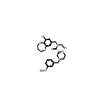 COc1cccc(CN2CCO[C@@H](C(=O)N(Cc3cc(Cl)c4c(c3)OCCCO4)CC(C)C)C2)c1